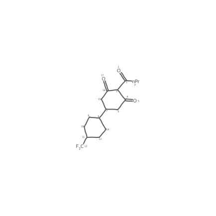 CCCC(=O)C1C(=O)CC(C2CCC(C(F)(F)F)CC2)CC1=O